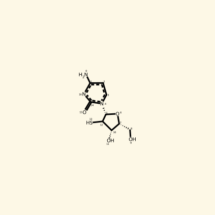 Nc1ccn([C@@H]2O[C@H](CO)[C@H](O)C2S)c(=O)n1